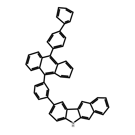 c1ccc(-c2ccc(-c3c4ccccc4c(-c4cccc(-c5ccc6[nH]c7cc8ccccc8cc7c6c5)c4)c4ccccc34)cc2)cc1